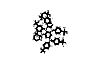 CC(C)(C)c1ccc(N(c2ccc(C(C)(C)C)cc2)c2cc3c4c(c2)N2c5c(cc(C(C)(C)C)cc5C5(C)CCCCC25C)B4c2c(sc4cc5c(cc24)C(C)(C)CCC5(C)C)N3c2ccc(C(C)(C)C)cc2)cc1